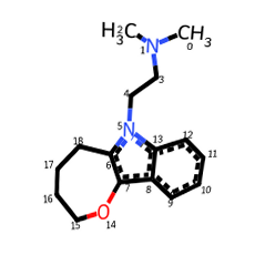 CN(C)CCn1c2c(c3ccccc31)OCCCC2